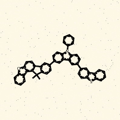 CC1(C)c2ccc(-c3ccc4c(c3)c3cc(-c5ccc6sc7ccccc7c6c5)ccc3n4-c3ccccc3)cc2-c2ccc3oc4ccccc4c3c21